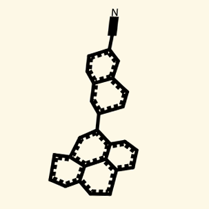 N#Cc1ccc2cc(-c3cc4cccc5ccc6cccc3c6c54)ccc2c1